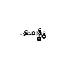 O=C(O)COC[C@H]1CC[C@H](Cn2nc(-c3ccccc3)c(-c3ccccc3Cl)cc2=O)CC1